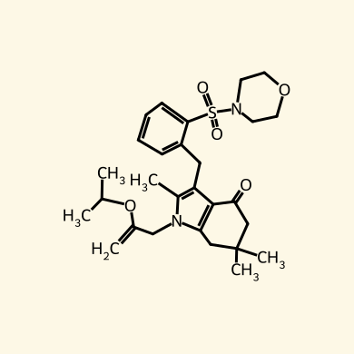 C=C(Cn1c(C)c(Cc2ccccc2S(=O)(=O)N2CCOCC2)c2c1CC(C)(C)CC2=O)OC(C)C